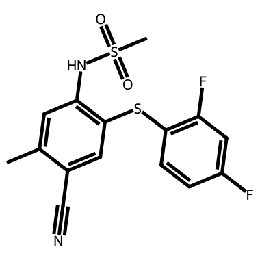 Cc1cc(NS(C)(=O)=O)c(Sc2ccc(F)cc2F)cc1C#N